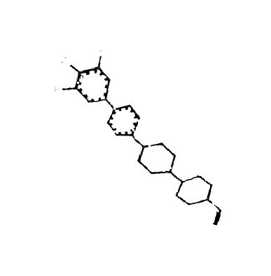 C=CC1CCC(C2CCC(c3ccc(-c4cc(F)c(F)c(F)c4)cc3)CC2)CC1